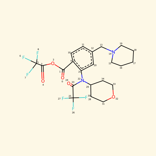 O=C(OC(=O)C(F)(F)F)c1ccc(CN2CCCCC2)cc1N(C(=O)C(F)(F)F)C1CCOCC1